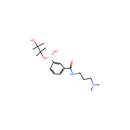 CN(C)CCCNC(=O)c1cccc(B(O)OC(C)(C)C(C)(C)O)c1